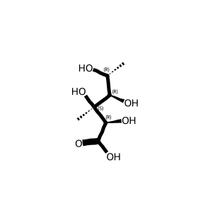 C[C@@H](O)[C@@H](O)[C@](C)(O)[C@@H](O)C(=O)O